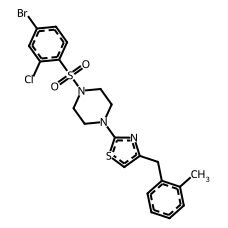 Cc1ccccc1Cc1csc(N2CCN(S(=O)(=O)c3ccc(Br)cc3Cl)CC2)n1